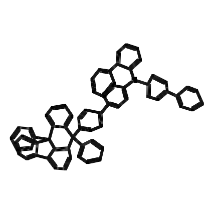 c1ccc(-c2ccc(N(c3ccc(-c4ccc(C5(c6ccccc6)c6ccccc6C6(c7ccccc7)c7ccccc7-c7cccc5c76)cc4)cc3)c3ccccc3-c3ccccc3)cc2)cc1